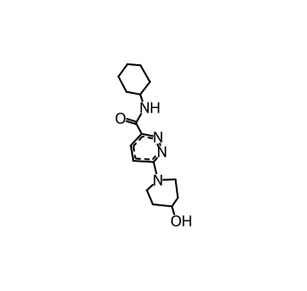 O=C(NC1CCCCC1)c1ccc(N2CCC(O)CC2)nn1